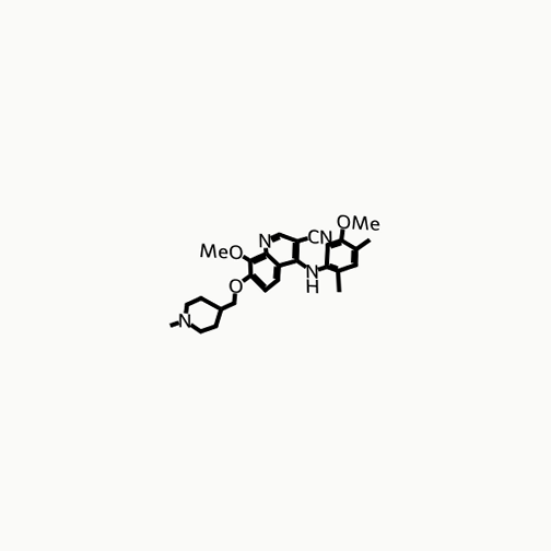 COc1cc(Nc2c(C#N)cnc3c(OC)c(OCC4CCN(C)CC4)ccc23)c(C)cc1C